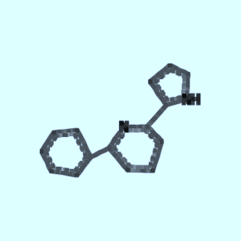 c1ccc(-c2cccc(-c3ccc[nH]3)n2)cc1